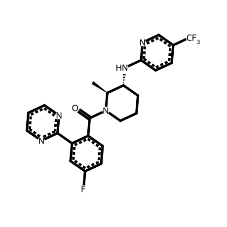 C[C@H]1[C@H](Nc2ccc(C(F)(F)F)cn2)CCCN1C(=O)c1ccc(F)cc1-c1ncccn1